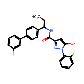 O=C(O)CC(NC(=O)c1cc(O)n(-c2ccccc2F)n1)c1ccc(-c2cccc(F)c2)cc1